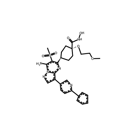 COCCO[C@]1(C(=O)NO)CC[C@@H](c2nc3c(-c4ccc(-c5ccccc5)nc4)cnn3c(N)c2S(C)(=O)=O)CC1